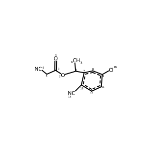 CC(OC(=O)CC#N)c1cc(Cl)ccc1C#N